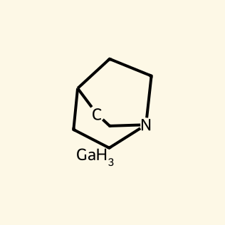 C1CN2CCC1CC2.[GaH3]